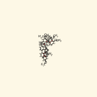 COc1ccc(CN(Cc2ccc(OC)cc2)S(=O)(=O)c2c(S(=O)(=O)N[C@H](CO)CN(C(=O)O)C(C)(C)C)ccc(-c3cccc4[nH]c(N)nc34)c2-c2nnnn2Cc2ccc(OC)cc2)cc1